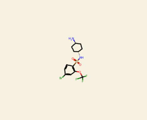 N[C@H]1CC[C@H](NS(=O)(=O)c2ccc(Br)cc2OC(F)(F)F)CC1